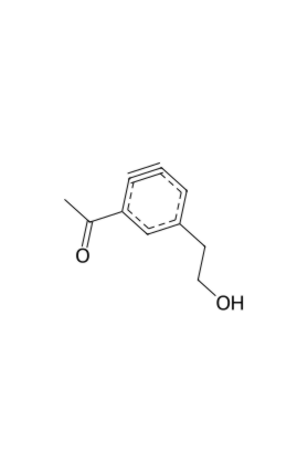 CC(=O)c1c#ccc(CCO)c1